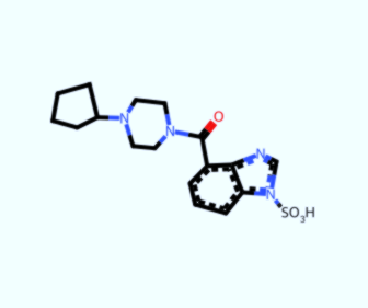 O=C(c1cccc2c1ncn2S(=O)(=O)O)N1CCN(C2CCCC2)CC1